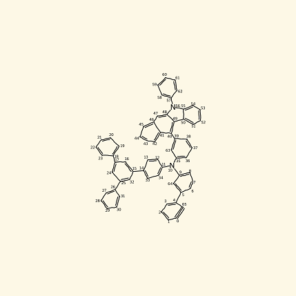 c1cccc(-c2cccc(N(c3ccc(-c4cc(-c5ccccc5)cc(-c5ccccc5)c4)cc3)c3cccc(-c4c5ccccc5cc5c4c4ccccc4n5-c4ccccc4)c3)c2)c#1